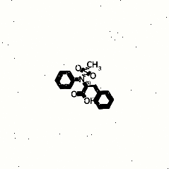 CS(=O)(=O)N(c1ccccc1)[C@@H](Cc1ccccc1)C(=O)O